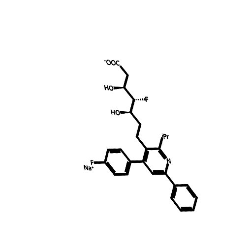 CC(C)c1nc(-c2ccccc2)cc(-c2ccc(F)cc2)c1CC[C@@H](O)[C@@H](F)[C@@H](O)CC(=O)[O-].[Na+]